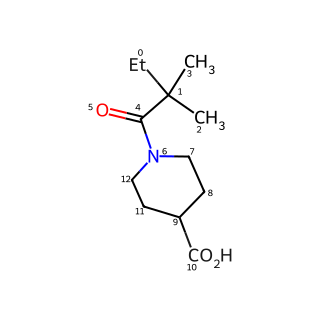 CCC(C)(C)C(=O)N1CCC(C(=O)O)CC1